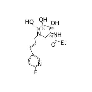 CCC(=O)N[C@H]1CN(CC=Cc2ccc(F)nc2)[C@H](CO)[C@@H](O)[C@@H]1O